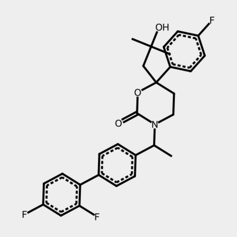 CC(c1ccc(-c2ccc(F)cc2F)cc1)N1CCC(CC(C)(C)O)(c2ccc(F)cc2)OC1=O